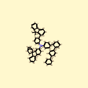 CC1(C)c2ccccc2-c2cccc(-c3cccc(N(c4ccc(-c5ccccc5-c5ccc(-c6ccccc6)cc5)cc4)c4ccc5c(c4)C4(CC6CCC4C6)c4ccccc4-5)c3)c21